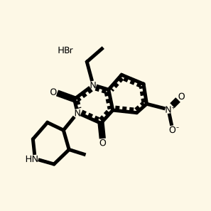 Br.CCn1c(=O)n(C2CCNCC2C)c(=O)c2cc([N+](=O)[O-])ccc21